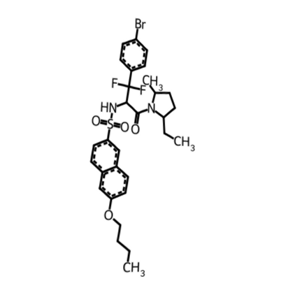 CCCCOc1ccc2cc(S(=O)(=O)NC(C(=O)N3C(C)CCC3CC)C(F)(F)c3ccc(Br)cc3)ccc2c1